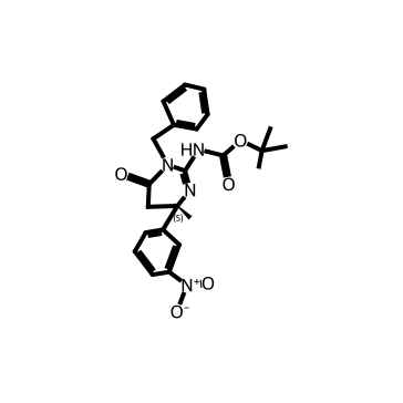 CC(C)(C)OC(=O)NC1=N[C@](C)(c2cccc([N+](=O)[O-])c2)CC(=O)N1Cc1ccccc1